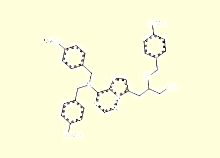 COc1ccc(COC(CO)Cc2cnc3c(N(Cc4ccc(OC)cc4)Cc4ccc(OC)cc4)ncnn23)cc1